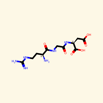 N=C(N)NCC[C@H](N)C(=O)NCC(=O)N[C@@H](CC(=O)O)C(=O)O